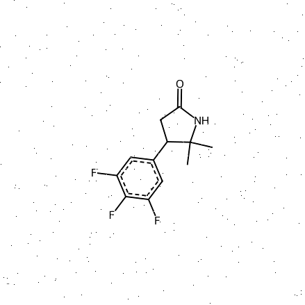 CC1(C)NC(=O)CC1c1cc(F)c(F)c(F)c1